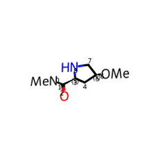 CNC(=O)[C@@H]1C[C@H](OC)CN1